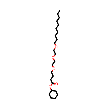 CCCCCCCCCCOCCOCCOCCCC(=O)OC1CCCCC1